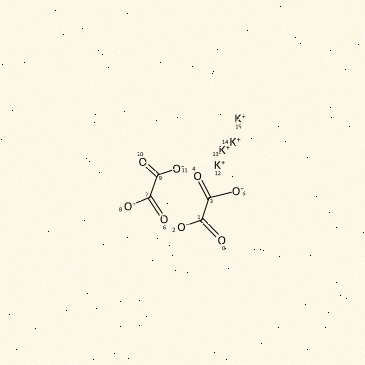 O=C([O-])C(=O)[O-].O=C([O-])C(=O)[O-].[K+].[K+].[K+].[K+]